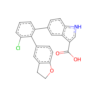 O=C(O)c1c[nH]c2ccc(-c3cccc(Cl)c3-c3ccc4c(c3)CCO4)cc12